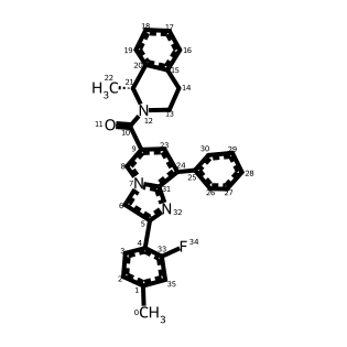 Cc1ccc(-c2cn3cc(C(=O)N4CCc5ccccc5[C@H]4C)cc(-c4ccccc4)c3n2)c(F)c1